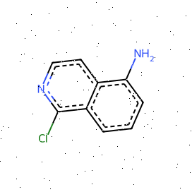 Nc1cccc2c(Cl)nccc12